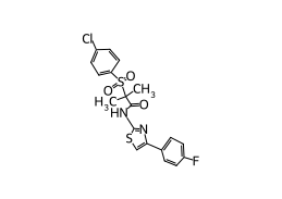 CC(C)(C(=O)Nc1nc(-c2ccc(F)cc2)cs1)S(=O)(=O)c1ccc(Cl)cc1